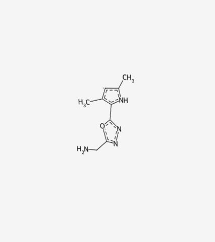 Cc1[c]c(C)c(-c2nnc(CN)o2)[nH]1